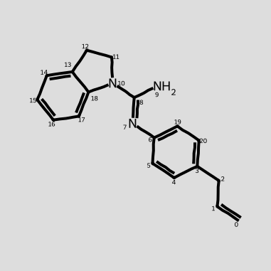 C=CCc1ccc(N=C(N)N2CCc3ccccc32)cc1